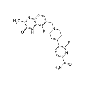 Cc1nc2ccc(CN3CC=C(c4ccc(C(N)=O)nc4F)CC3)c(F)c2[nH]c1=O